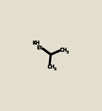 CC[C](C)C.[KH]